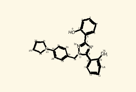 Oc1ccccc1-c1nc(-c2ccccc2O)n(Cc2ccc(N3CCCC3)cc2)n1